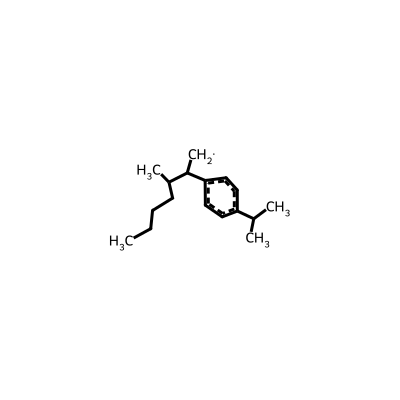 [CH2]C(c1ccc(C(C)C)cc1)C(C)CCCC